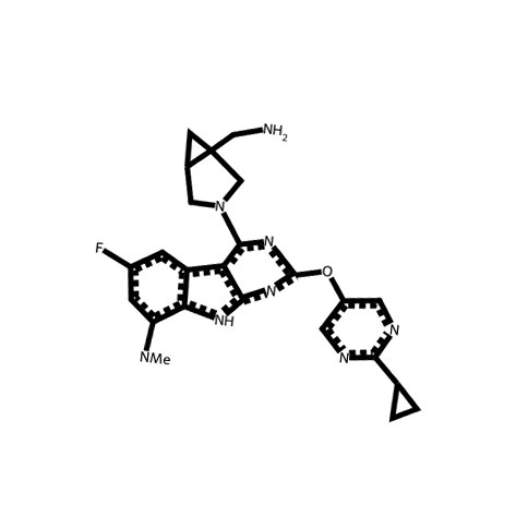 CNc1cc(F)cc2c1[nH]c1nc(Oc3cnc(C4CC4)nc3)nc(N3CC4CC4(CN)C3)c12